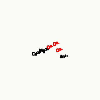 [Cd+2].[Mg+2].[O-2].[O-2].[O-2].[Zn+2]